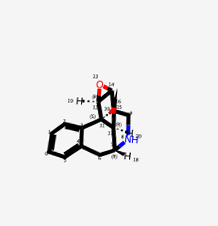 c1ccc2c(c1)C[C@H]1NCC[C@@]23[C@H]2OC2CC[C@@H]13